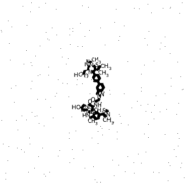 Cc1ncsc1-c1ccc(C(C)NC(=O)[C@@H]2C[C@@H](O)CN2C(=O)C(NC(=O)Cn2cc3cc(-c4ccc(C5=N[C@@H](CC(=O)O)c6nnc(C)n6-c6sc(C)c(C)c65)cc4)ccc3n2)C(C)(C)C)cc1